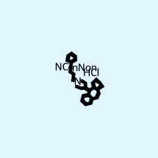 CCCCCCCCCC(C#N)(CCCN1CCC(=C2c3ccccc3C=Cc3ccccc32)CC1)c1ccccc1.Cl